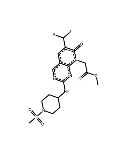 COC(=O)Cn1c(=O)c(C(F)F)cc2cnc(NC3CCN(S(C)(=O)=O)CC3)nc21